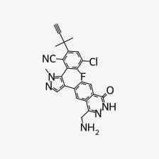 C#CC(C)(C)c1cc(Cl)c(F)c(-c2c(-c3ccc4c(=O)[nH]nc(CN)c4c3)cnn2C)c1C#N